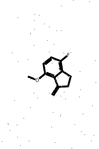 C=C1CCc2c(F)ccc(OC)c21